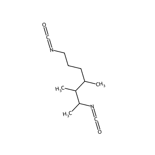 CC(CCCN=C=O)C(C)C(C)N=C=O